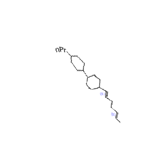 C/C=C/CC/C=C/C1CCC(C2CCC(CCC)CC2)CC1